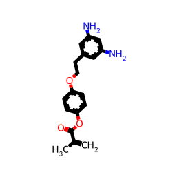 C=C(C)C(=O)Oc1ccc(OCCc2cc(N)cc(N)c2)cc1